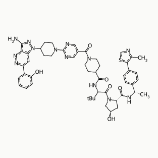 Cc1ncsc1-c1ccc([C@H](C)NC(=O)[C@@H]2C[C@@H](O)CN2C(=O)C(NC(=O)C2CCN(C(=O)c3cnc(N4CCC(n5nc(N)c6nnc(-c7ccccc7O)cc65)CC4)nc3)CC2)C(C)(C)C)cc1